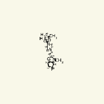 CN1C[C@@H](CCN2CCN(C(=O)OC(C)(C)C)CC2)Oc2ccc(F)cc21